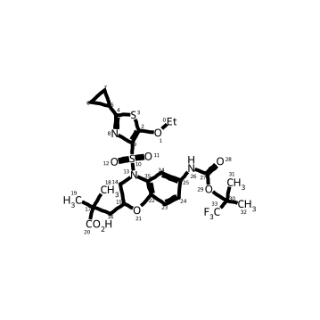 CCOc1sc(C2CC2)nc1S(=O)(=O)N1CC(CC(C)(C)C(=O)O)Oc2ccc(NC(=O)OC(C)(C)C(F)(F)F)cc21